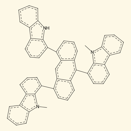 Cn1c2ccccc2c2cccc(-c3cccc4c(-c5cccc6c7ccccc7n(C)c56)c5cccc(-c6cccc7c6[nH]c6ccccc67)c5cc34)c21